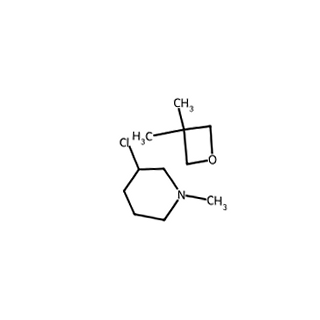 CC1(C)COC1.CN1CCCC(Cl)C1